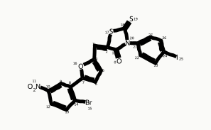 O=C1/C(=C\c2ccc(-c3cc([N+](=O)[O-])ccc3Br)o2)SC(=S)N1c1ccc(I)cc1